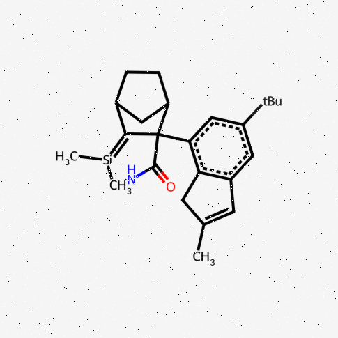 CC1=Cc2cc(C(C)(C)C)cc(C3(C([NH])=O)C(=[Si](C)C)C4CCC3C4)c2C1